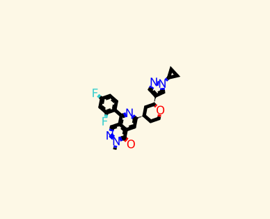 Cn1ncc2c(-c3ccc(F)cc3F)nc([C@H]3CCO[C@@H](c4cnn(C5CC5)c4)C3)cc2c1=O